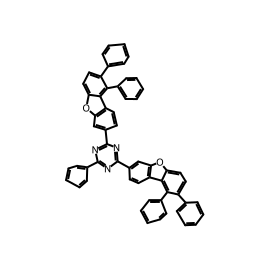 c1ccc(-c2nc(-c3ccc4c(c3)oc3ccc(-c5ccccc5)c(-c5ccccc5)c34)nc(-c3ccc4c(c3)oc3ccc(-c5ccccc5)c(-c5ccccc5)c34)n2)cc1